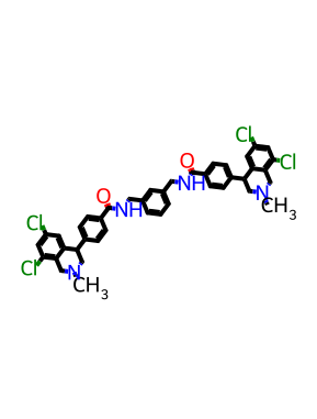 CN1Cc2c(Cl)cc(Cl)cc2C(c2ccc(C(=O)NCc3cccc(CNC(=O)c4ccc(C5CN(C)Cc6c(Cl)cc(Cl)cc65)cc4)c3)cc2)C1